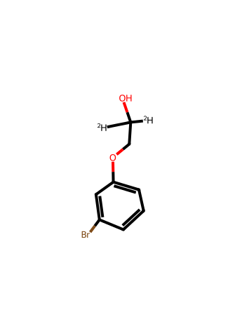 [2H]C([2H])(O)COc1cccc(Br)c1